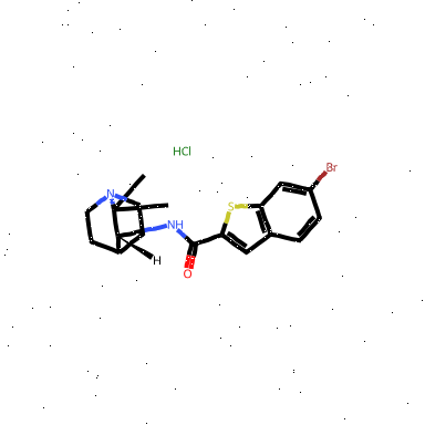 CC1(C)[C@H](NC(=O)c2cc3ccc(Br)cc3s2)C2CCN1CC2.Cl